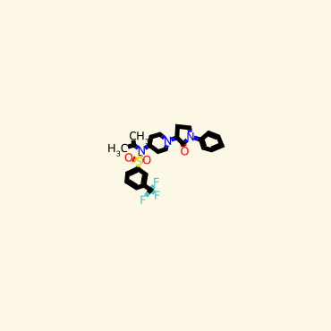 CC(C)N(C1CCN(C2CCN(c3ccccc3)C2=O)CC1)S(=O)(=O)c1cccc(C(F)(F)F)c1